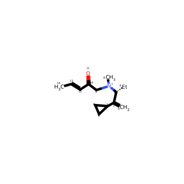 C=C(C1CC1)[C@@H](CC)N(C)CC(=O)C=CC